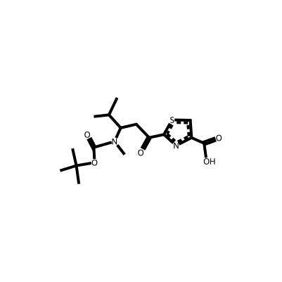 CC(C)C(CC(=O)c1nc(C(=O)O)cs1)N(C)C(=O)OC(C)(C)C